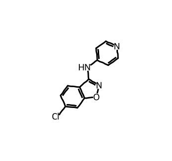 Clc1ccc2c(Nc3ccncc3)noc2c1